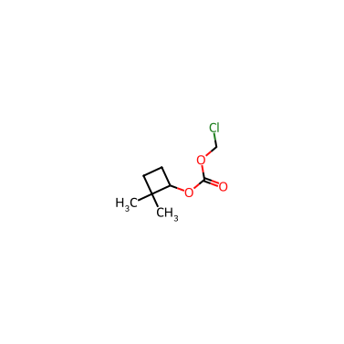 CC1(C)CCC1OC(=O)OCCl